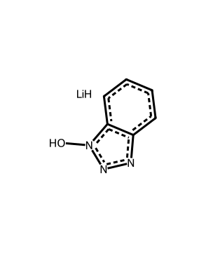 On1nnc2ccccc21.[LiH]